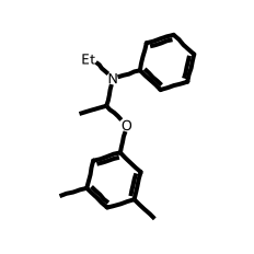 CCN(c1ccccc1)C(C)Oc1cc(C)cc(C)c1